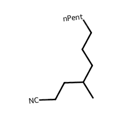 CCCCCCCCC(C)CCC#N